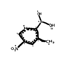 Cc1cc([N+](=O)[O-])cnc1B(O)O